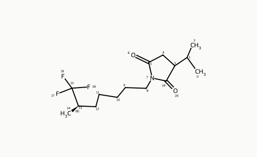 CC(C)C1CC(=O)N(CCCCC[C@@H](C)C(F)(F)F)C1=O